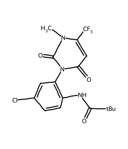 Cn1c(C(F)(F)F)cc(=O)n(-c2cc(Cl)ccc2NC(=O)C(C)(C)C)c1=O